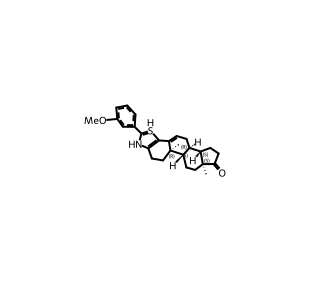 COc1cccc(C2=[SH]C3=C(CC[C@@]4(C)C3=CC[C@@H]3[C@@H]4CC[C@]4(C)C(=O)CC[C@@H]34)N2)c1